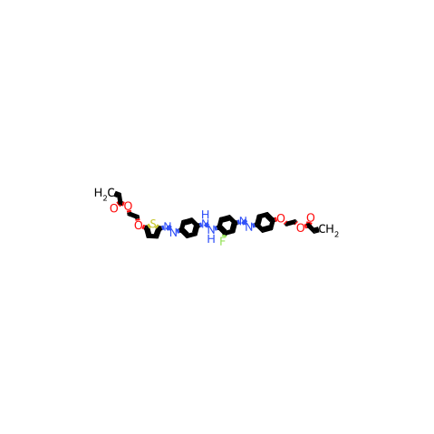 C=CC(=O)OCCOc1ccc(/N=N/c2ccc(NNc3ccc(/N=N/c4ccc(OCCOC(=O)C=C)s4)cc3)c(F)c2)cc1